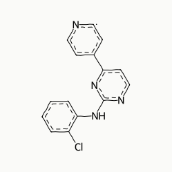 Clc1ccccc1Nc1nccc(-c2c[c]ncc2)n1